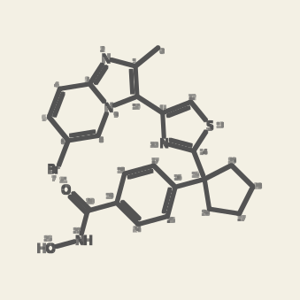 Cc1nc2ccc(Br)cn2c1-c1csc(C2(c3ccc(C(=O)NO)cc3)CCCC2)n1